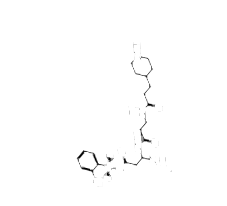 NC(CC(=O)OS(=O)(=O)c1ccccc1Cl)NC(=O)CCNC(=O)CCC1CCNCC1